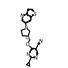 N#Cc1cnc(C2CC2)nc1OC[C@H]1CCN(c2cnc3ccsc3c2)C1